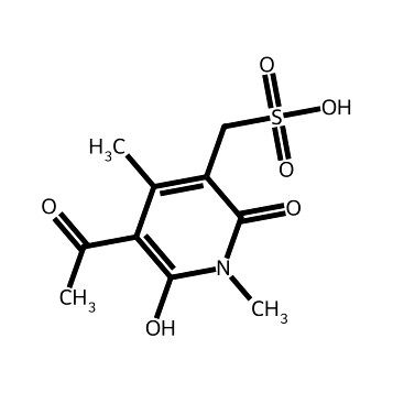 CC(=O)c1c(C)c(CS(=O)(=O)O)c(=O)n(C)c1O